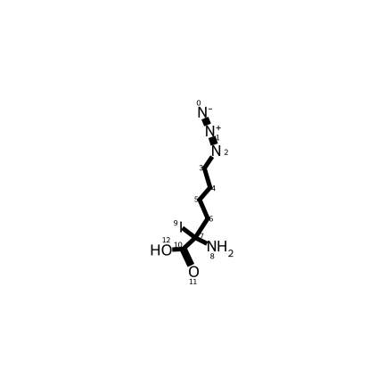 [N-]=[N+]=NCCCCC(N)(I)C(=O)O